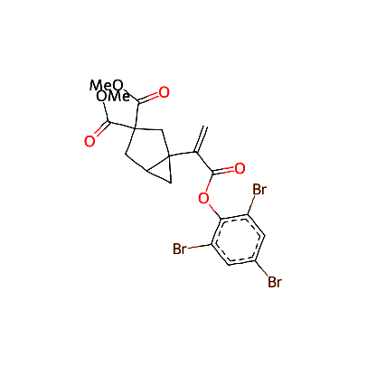 C=C(C(=O)Oc1c(Br)cc(Br)cc1Br)C12CC1CC(C(=O)OC)(C(=O)OC)C2